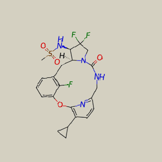 CS(=O)(=O)N[C@@H]1[C@@H]2Cc3cccc(c3F)Oc3nc(ccc3C3CC3)CNC(=O)N2CC1(F)F